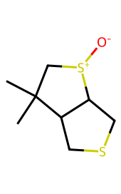 CC1(C)C[S+]([O-])C2CSCC21